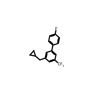 Fc1ccc(-c2cc(CC3CC3)cc(C(F)(F)F)c2)cc1